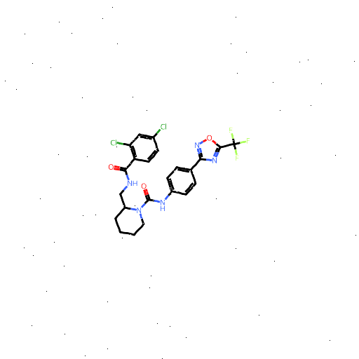 O=C(NCC1CCCCN1C(=O)Nc1ccc(-c2noc(C(F)(F)F)n2)cc1)c1ccc(Cl)cc1Cl